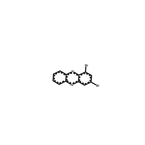 Brc1cc(Br)c2nc3ccccc3nc2c1